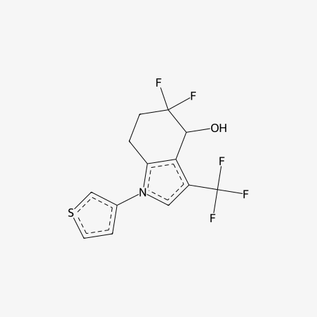 OC1c2c(C(F)(F)F)cn(-c3ccsc3)c2CCC1(F)F